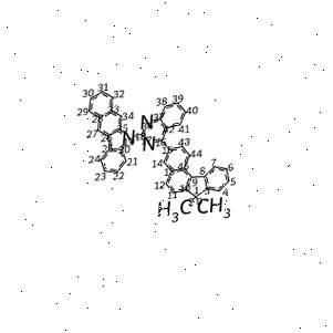 CC1(C)c2ccccc2-c2c1ccc1cc(-c3nc(-n4c5ccccc5c5cc6ccccc6cc54)nc4ccccc34)ccc21